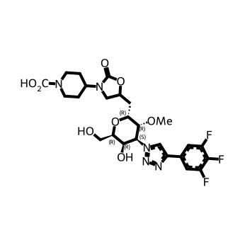 CO[C@@H]1[C@@H](n2cc(-c3cc(F)c(F)c(F)c3)nn2)[C@@H](O)[C@@H](CO)O[C@@H]1CC1CN(C2CCN(C(=O)O)CC2)C(=O)O1